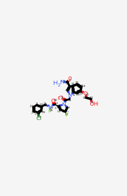 NC(=O)c1cn(CC(=O)N2C[C@H](F)C[C@H]2C(=O)N(F)Cc2cccc(Cl)c2)c2cc(OCCO)ccc12